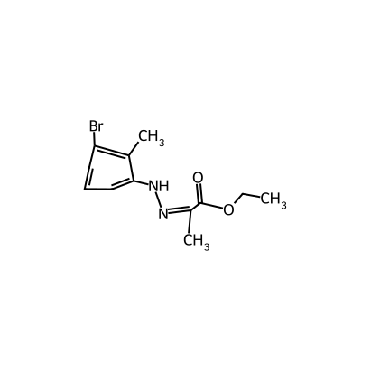 CCOC(=O)/C(C)=N\Nc1cccc(Br)c1C